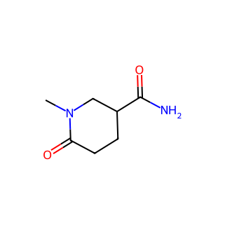 CN1CC(C(N)=O)CCC1=O